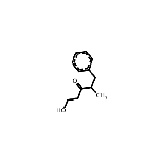 CC(Cc1ccccc1)C(=O)CCO